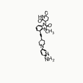 Cn1c(=O)n([C@@H]2CCC(=O)NC2=O)c2cccc(C#CC3CCN(c4ccc(N)nc4)CC3)c21